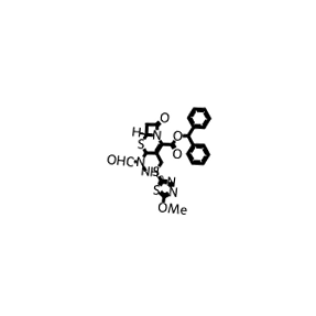 COc1nnc(SCC2=C(C(=O)OC(c3ccccc3)c3ccccc3)N3C(=O)C[C@H]3SC2N(N)C=O)s1